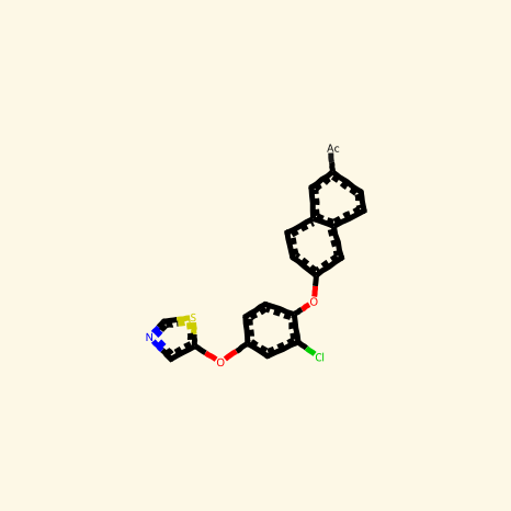 CC(=O)c1ccc2cc(Oc3ccc(Oc4cncs4)cc3Cl)ccc2c1